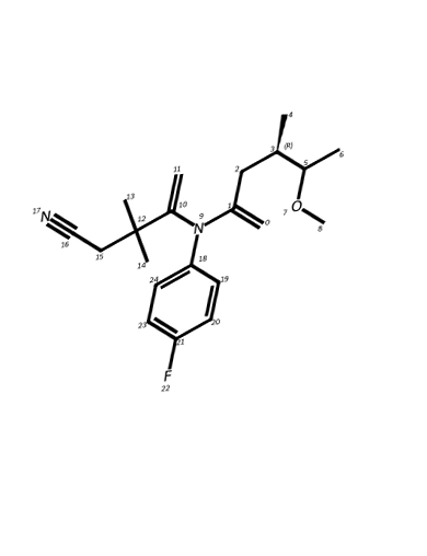 C=C(C[C@@H](C)C(C)OC)N(C(=C)C(C)(C)CC#N)c1ccc(F)cc1